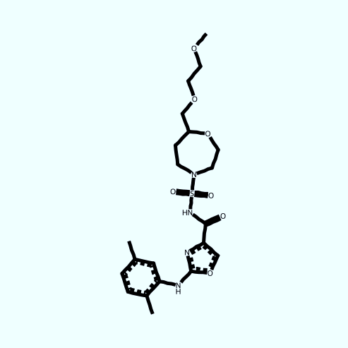 COCCOCC1CCN(S(=O)(=O)NC(=O)c2coc(Nc3cc(C)ccc3C)n2)CCO1